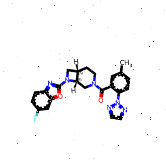 Cc1ccc(-n2nccn2)c(C(=O)N2CC[C@H]3CN(c4nc5ccc(F)cc5o4)[C@H]3C2)c1